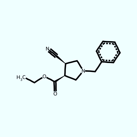 CCOC(=O)[C@@H]1CN(Cc2ccccc2)C[C@@H]1C#N